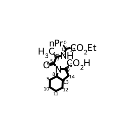 CCC[C@H](N[C@@H](C)C(=O)N1C2CCCCC2C[C@H]1C(=O)O)C(=O)OCC